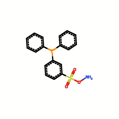 NOS(=O)(=O)c1cccc(P(c2ccccc2)c2ccccc2)c1